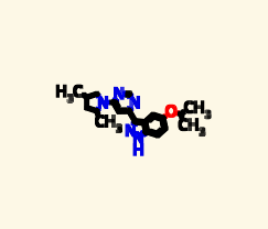 CC1CC(C)N(c2cc(-c3n[nH]c4ccc(OC(C)C)cc34)ncn2)C1